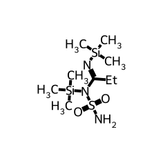 CCC(=N[Si](C)(C)C)N([Si](C)(C)C)S(N)(=O)=O